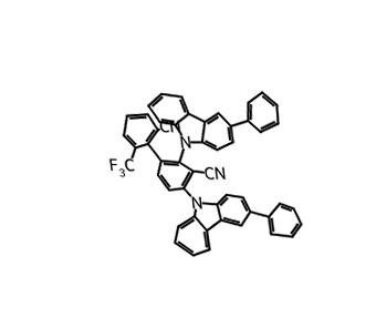 N#Cc1cccc(C(F)(F)F)c1-c1ccc(-n2c3ccccc3c3cc(-c4ccccc4)ccc32)c(C#N)c1-n1c2ccccc2c2cc(-c3ccccc3)ccc21